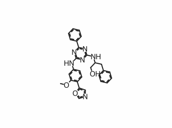 COc1cc(Nc2nc(NC(CO)Cc3ccccc3)nc(-c3ccccc3)n2)ccc1-c1cnco1